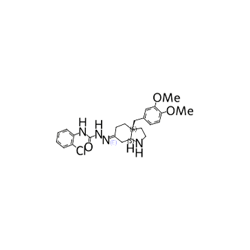 COc1ccc(C[C@@]23CCN[C@H]2C/C(=N/NC(=O)Nc2ccccc2Cl)CC3)cc1OC